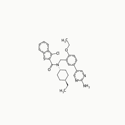 CCOc1ccc(-c2cnc(N)nc2)cc1CN(C(=O)c1sc2ccccc2c1Cl)[C@H]1CC[C@H](CC)CC1